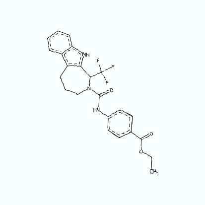 CCOC(=O)c1ccc(NC(=O)N2CCCc3c([nH]c4ccccc34)C2C(F)(F)F)cc1